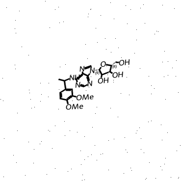 COc1ccc(C(C)Nc2ncnc3c2ncn3[C@@H]2O[C@H](CO)C(O)C2O)cc1OC